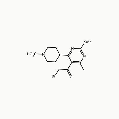 CSc1nc(C)c(C(=O)CBr)c(C2CCN(C(=O)O)CC2)n1